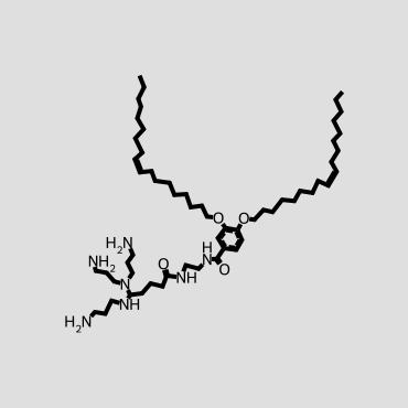 CCCCCCCC/C=C\CCCCCCCCOc1ccc(C(=O)NCCNC(=O)CCCC(NCCCN)N(CCCN)CCCN)cc1OCCCCCCCC/C=C\CCCCCCCC